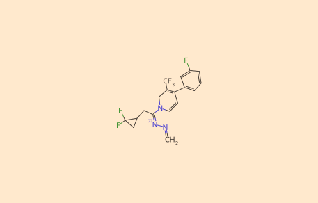 C=N/N=C(/CC1CC1(F)F)N1C=CC(c2cccc(F)c2)=C(C(F)(F)F)C1